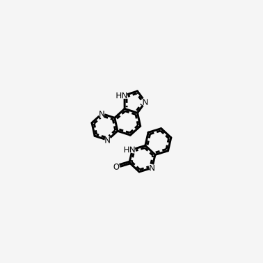 O=c1cnc2ccccc2[nH]1.c1cnc2c(ccc3nc[nH]c32)n1